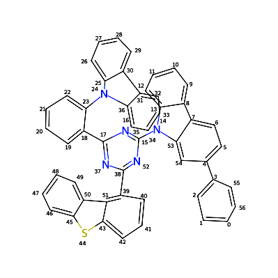 c1ccc(-c2ccc3c4ccccc4n(-c4nc(-c5ccccc5-n5c6ccccc6c6ccccc65)nc(-c5cccc6sc7ccccc7c56)n4)c3c2)cc1